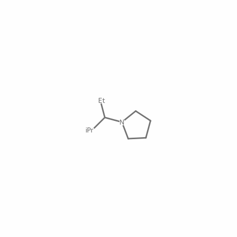 CCC(C(C)C)N1CCCC1